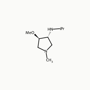 CO[C@@H]1CN(C)C[C@H]1NC(C)C